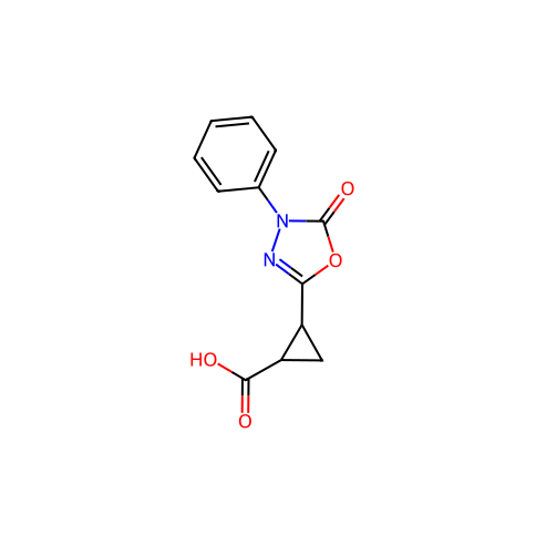 O=C(O)C1CC1c1nn(-c2ccccc2)c(=O)o1